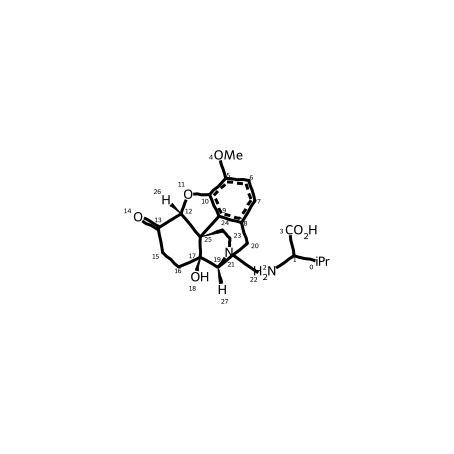 CC(C)C(N)C(=O)O.COc1ccc2c3c1O[C@H]1C(=O)CC[C@@]4(O)[C@@H](C2)N(C)CC[C@]314